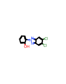 Oc1c[c]ccc1-n1nc2cc(Cl)c(Cl)cc2n1